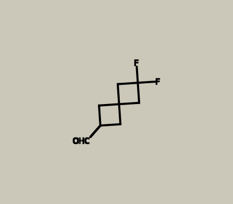 O=CC1CC2(C1)CC(F)(F)C2